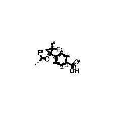 CC1(F)CC1(OC(F)F)c1ccc(C(=O)O)cc1